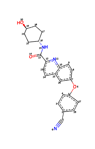 N#Cc1ccc(Oc2ccc3nc(C(=O)N[C@H]4CC[C@H](O)CC4)ccc3c2)cc1